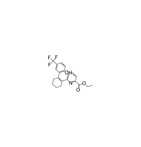 CCOC(=O)c1cccc(C2=C(c3cc(C(F)(F)F)ccc3O)CCCC2)n1